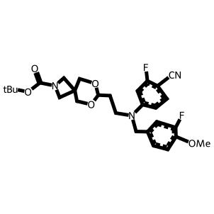 COc1ccc(CN(CCC2OCC3(CO2)CN(C(=O)OC(C)(C)C)C3)c2ccc(C#N)c(F)c2)cc1F